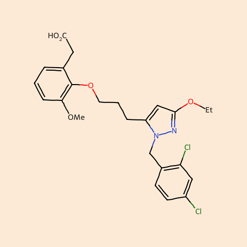 CCOc1cc(CCCOc2c(CC(=O)O)cccc2OC)n(Cc2ccc(Cl)cc2Cl)n1